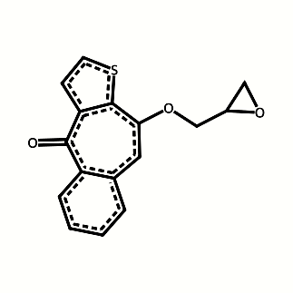 O=c1c2ccccc2cc(OCC2CO2)c2sccc12